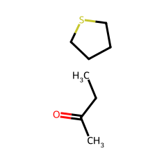 C1CCSC1.CCC(C)=O